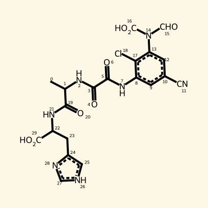 CC(NC(=O)C(=O)Nc1cc(C#N)cc(N(C=O)C(=O)O)c1Cl)C(=O)NC(Cc1c[nH]cn1)C(=O)O